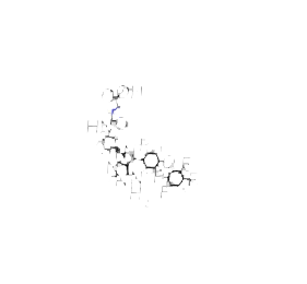 Nc1ncnc2c1c(-c1ccc(Oc3c(F)c(F)cc(F)c3F)cc1F)nn2[C@H]1CCC(NC(=O)/C=C/C(=O)O)C1